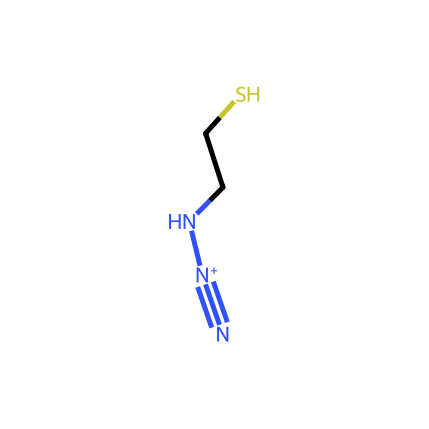 N#[N+]NCCS